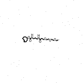 [CH2]COCCOCCOCCC(=O)NCCCNC(=O)OC1CC/C=C/CCC1